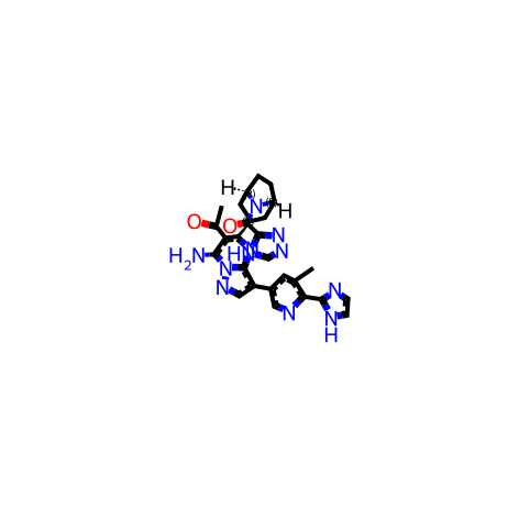 CC(=O)c1c([C@H]2C[C@H]3CC[C@@H](C2)N3C(=O)c2nnc[nH]2)nc2c(-c3cnc(-c4ncc[nH]4)c(C)c3)cnn2c1N